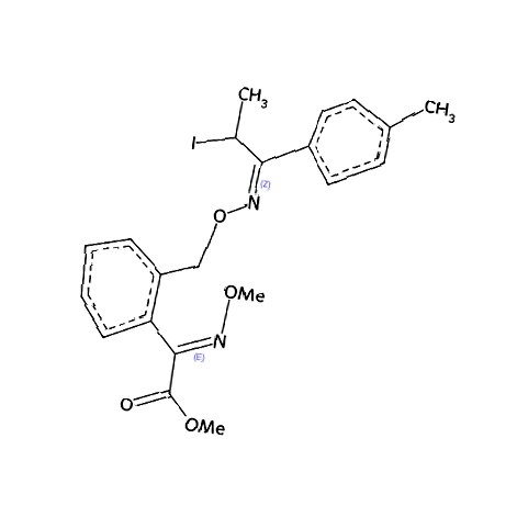 CO/N=C(/C(=O)OC)c1ccccc1CO/N=C(/c1ccc(C)cc1)C(C)I